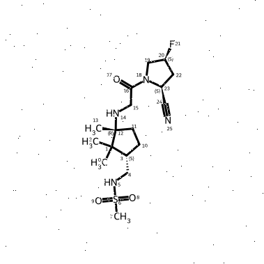 CC1(C)[C@@H](CNS(C)(=O)=O)CC[C@@]1(C)NCC(=O)N1C[C@@H](F)C[C@H]1C#N